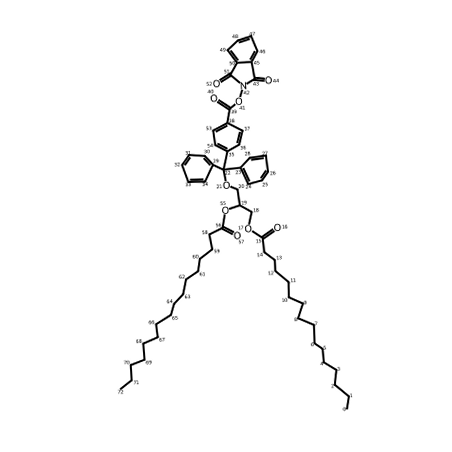 CCCCCCCCCCCCCCCC(=O)OCC(COC(c1ccccc1)(c1ccccc1)c1ccc(C(=O)ON2C(=O)c3ccccc3C2=O)cc1)OC(=O)CCCCCCCCCCCCCCC